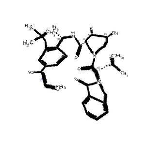 C/C=C(/S)c1ccc([C@H](C)NC(=O)[C@@H]2[C@@H](F)[C@@H](O)CN2C(=O)[C@H](C(C)C)N2Cc3ccccc3C2=O)c(C(C)(C)C)c1